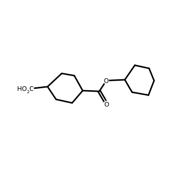 O=C(O)C1CCC(C(=O)OC2CCCCC2)CC1